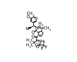 COc1cncc(C(C#N)NC(=O)[C@@H]2C(C(C)C)CCN2C(=O)[C@@H](NC(=O)C(F)(F)F)C(C)(C)C)c1